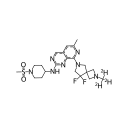 [2H]C([2H])([2H])N1CC2(CN(c3nc(C)cc4cnc(NC5CCN(S(C)(=O)=O)CC5)nc34)CC2(F)F)C1